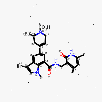 Cc1cc(C)c(CNC(=O)c2cc(C3=CCN(C(=O)O)C(C(C)(C)C)C3)cc3c(C(C)C)cn(C)c23)c(=O)[nH]1